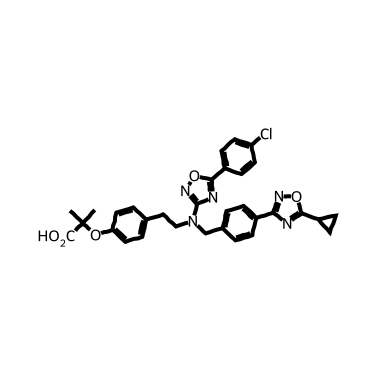 CC(C)(Oc1ccc(CCN(Cc2ccc(-c3noc(C4CC4)n3)cc2)c2noc(-c3ccc(Cl)cc3)n2)cc1)C(=O)O